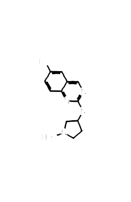 CN1CCC(Nc2ncc3cc(Br)ccc3n2)C1